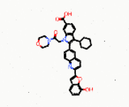 O=C(O)c1ccc2c(C3CCCCC3)c(-c3ccc4nc(-c5cc6cccc(O)c6o5)ccc4c3)n(CC(=O)N3CCOCC3)c2c1